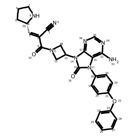 N#CC(=C[C@@H]1CCCN1)C(=O)N1CC(n2c(=O)n(-c3ccc(Oc4ccccc4)cc3)c3c(N)ncnc32)C1